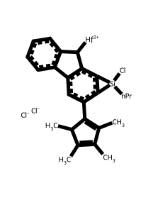 CCC[Si]1(Cl)c2c(C3=C(C)C(C)=C(C)C3C)cc3c(c21)[CH]([Hf+2])c1ccccc1-3.[Cl-].[Cl-]